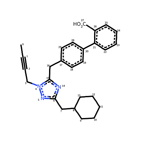 CC#CCn1nc(CC2CCCCC2)nc1Cc1ccc(-c2ccccc2C(=O)O)cc1